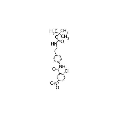 CC(C)(C)OC(=O)NCCc1ccc(NC(=O)c2cc([N+](=O)[O-])ccc2Cl)cc1